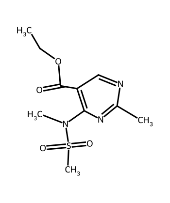 CCOC(=O)c1cnc(C)nc1N(C)S(C)(=O)=O